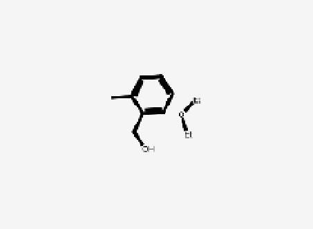 CCOCC.Cc1ccccc1CO